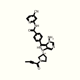 CC#CC(=O)N1CC[C@@H](N2NC(c3ccc(C(=O)Nc4cc(C#N)ccn4)cc3)=C3C2=CN=CN3N)C1